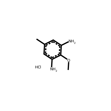 COc1c(N)cc(C)cc1N.Cl